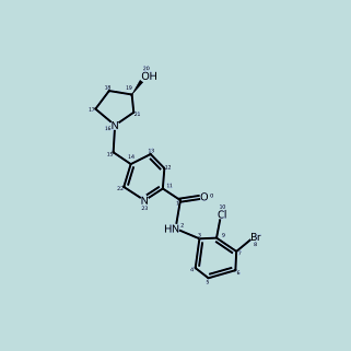 O=C(Nc1cccc(Br)c1Cl)c1ccc(CN2CC[C@@H](O)C2)cn1